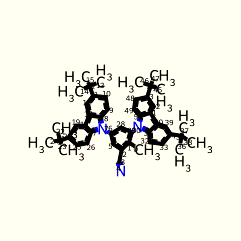 Cc1c(C#N)cc(-n2c3ccc(C(C)(C)C)cc3c3cc(C(C)(C)C)ccc32)cc1-n1c2ccc(C(C)(C)C)cc2c2cc(C(C)(C)C)ccc21